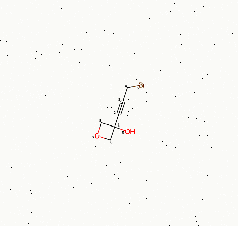 OC1(C#CCBr)COC1